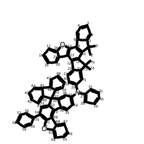 CC1(C)c2ccccc2-c2c1c1c(c3c2oc2ccccc23)-c2ccc(N(c3ccccc3)c3ccc4c(c3)C3(c5ccccc5-c5ccccc53)c3cc(-c5ccccc5)c5oc6ccccc6c5c3-4)cc2C1(C)C